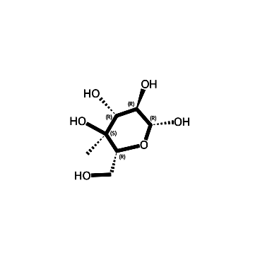 C[C@]1(O)[C@H](O)[C@@H](O)[C@H](O)O[C@@H]1CO